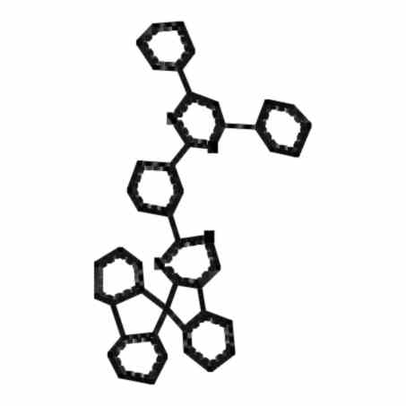 c1ccc(-c2cc(-c3ccccc3)nc(-c3cccc(-c4ncc5c(n4)C4(c6ccccc6-c6ccccc64)c4ccccc4-5)c3)n2)cc1